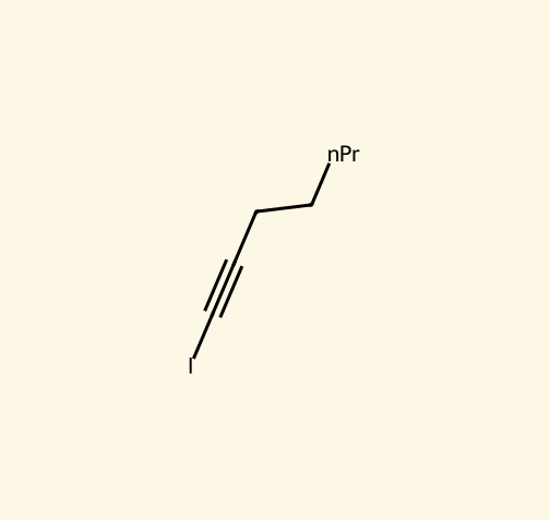 [CH2]CCCCC#CI